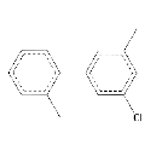 Cc1cc(Cl)cc(-c2ccccc2C)c1